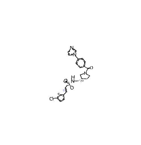 O=C(c1ccc(-n2ccnc2)cc1)N1CC[C@H](CNS(=O)(=O)/C=C/c2ccc(Cl)s2)C1